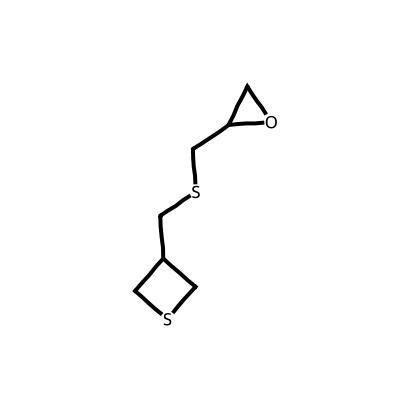 C1SCC1CSCC1CO1